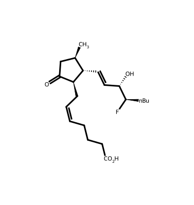 CCCC[C@@H](F)[C@@H](O)/C=C/[C@H]1[C@H](C)CC(=O)[C@@H]1C/C=C\CCCC(=O)O